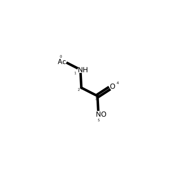 CC(=O)NCC(=O)N=O